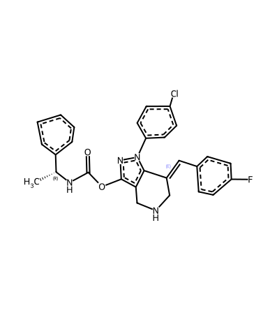 C[C@@H](NC(=O)Oc1nn(-c2ccc(Cl)cc2)c2c1CNC/C2=C\c1ccc(F)cc1)c1ccccc1